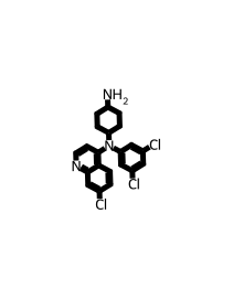 NC1CCC(N(c2cc(Cl)cc(Cl)c2)c2ccnc3cc(Cl)ccc23)CC1